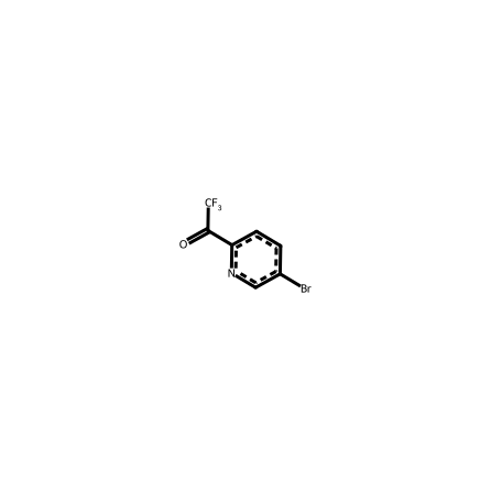 O=C(c1ccc(Br)cn1)C(F)(F)F